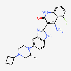 C[C@@H]1CN(C2CCC2)CCN1c1ccc2[nH]c(-c3c(N)c4c(F)cccc4[nH]c3=O)nc2c1